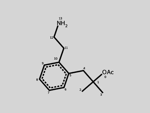 CC(=O)OC(C)(C)Cc1ccccc1CCN